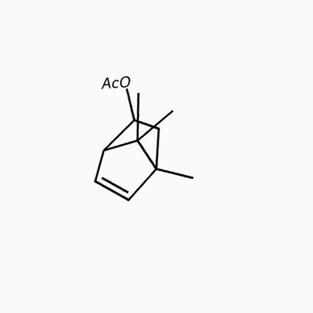 CC(=O)OC1CC2(C)C=CC1C2(C)C